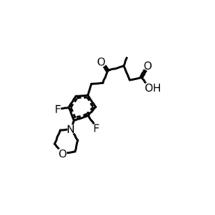 CC(CC(=O)O)C(=O)CCc1cc(F)c(N2CCOCC2)c(F)c1